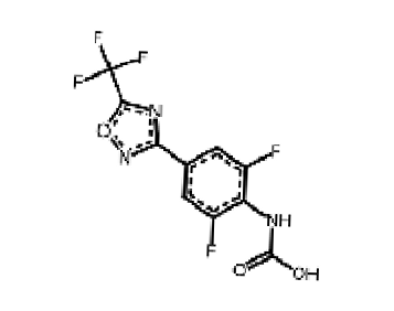 O=C(O)Nc1c(F)cc(-c2noc(C(F)(F)F)n2)cc1F